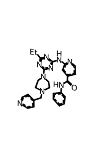 CCc1nc(Nc2cc(C(=O)Nc3ccccc3)ccn2)nc(N2CCN(Cc3ccncc3)CC2)n1